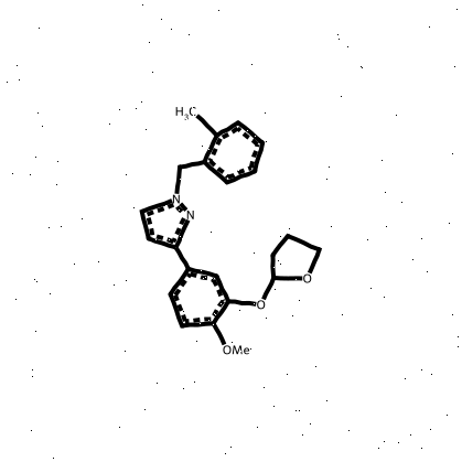 COc1ccc(-c2ccn(Cc3ccccc3C)n2)cc1OC1CCCO1